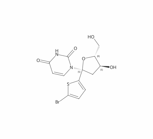 O=c1ccn([C@@]2(c3ccc(Br)s3)C[C@H](O)[C@@H](CO)O2)c(=O)[nH]1